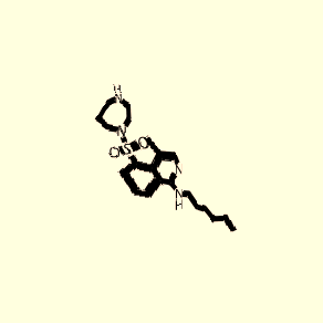 CCCCCCNc1ncc(C)c2c(S(=O)(=O)N3CCCNCC3)cccc12